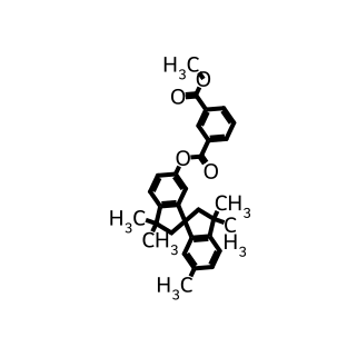 COC(=O)c1cccc(C(=O)Oc2ccc3c(c2)C2(CC(C)(C)c4ccc(C)cc42)CC3(C)C)c1